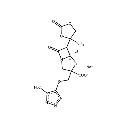 Cn1nnnc1SCC1(C(=O)[O-])CN2C(=O)C(C3(C)COC(=O)O3)[C@H]2S1.[Na+]